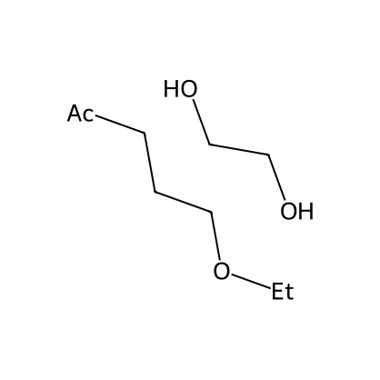 CCOCCCC(C)=O.OCCO